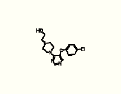 OCCN1CCN(c2ncncc2Oc2ccc(Cl)cc2)CC1